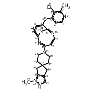 Cc1nccc(SC2=CC=C3/N=C(/N4CCC5(CC4)Cc4cnn(C)c4C5)C=C/N=C/2N3C)c1Cl